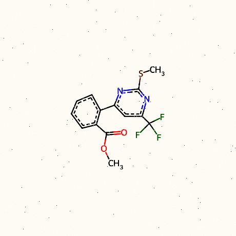 COC(=O)c1ccccc1-c1cc(C(F)(F)F)nc(SC)n1